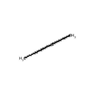 CCCCCCCCCCCCCCCCCCCCCCCCCCCCSCCCCCCCCCCCCCCCCCC